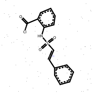 O=C(Cl)c1ccccc1NS(=O)(=O)/C=C/c1ccccc1